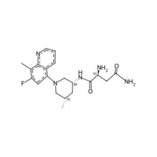 Cc1c(F)cc(N2C[C@@H](C)C[C@@H](NC(=O)[C@@H](N)CC(N)=O)C2)c2cccnc12